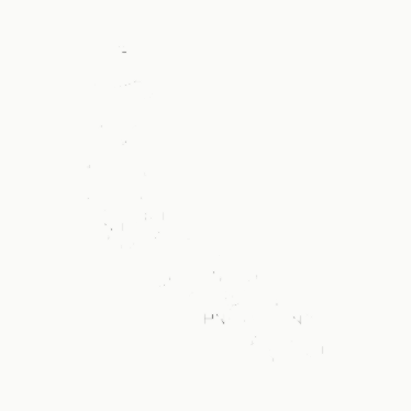 Cc1ccc(S(=N)(=O)c2ccc(C(=O)Nc3cc(-c4ccc(F)cc4)ccc3N)cc2)cn1